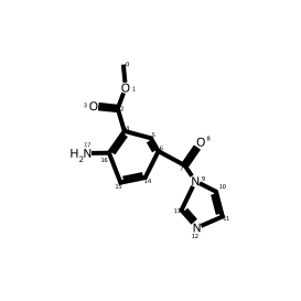 COC(=O)c1cc(C(=O)n2ccnc2)ccc1N